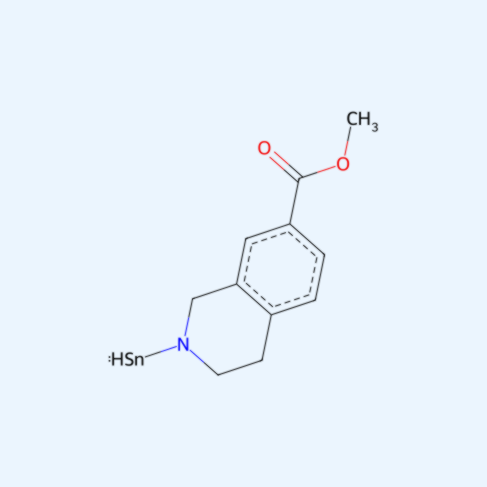 COC(=O)c1ccc2c(c1)C[N]([SnH])CC2